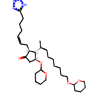 CC(CCCCCCCOC1CCCCO1)[C@@H]1[C@@H](OC2CCCCO2)CC(=O)[C@H]1C/C=C\CCCc1nnn[nH]1